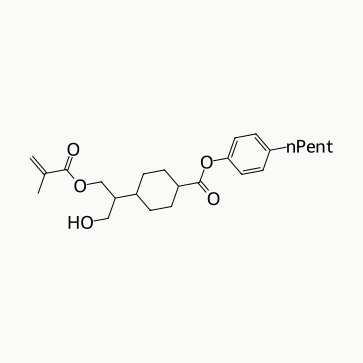 C=C(C)C(=O)OCC(CO)C1CCC(C(=O)Oc2ccc(CCCCC)cc2)CC1